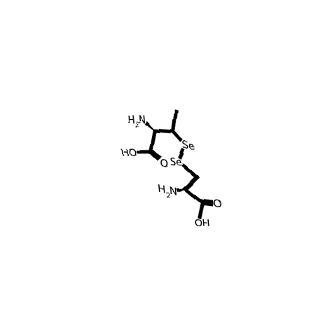 CC([Se][Se]C[C@H](N)C(=O)O)[C@H](N)C(=O)O